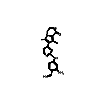 Cc1c(-c2ccnc(Nc3ccc(C=N)c(N)c3)n2)c(C)n2c1C(=O)NCC2